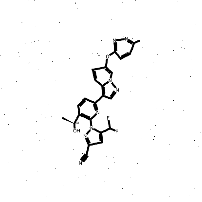 Cc1ccc(Oc2ccc3c(-c4ccc([C@H](C)O)c(-n5nc(C#N)cc5C(F)F)n4)cnn3c2)nn1